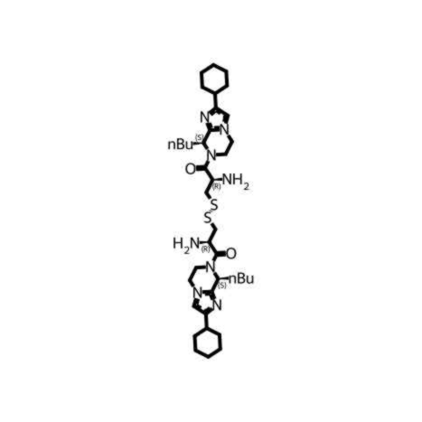 CCCC[C@H]1c2nc(C3CCCCC3)cn2CCN1C(=O)[C@@H](N)CSSC[C@H](N)C(=O)N1CCn2cc(C3CCCCC3)nc2[C@@H]1CCCC